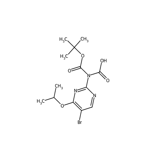 CC(C)Oc1nc(N(C(=O)O)C(=O)OC(C)(C)C)ncc1Br